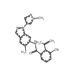 C=C(C)c1c(C#N)cccc1C(=O)Nc1cc2c(cnn2-c2cnn(C)c2)cc1C